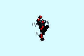 Cc1cc(-c2ccc(-c3ccccc3-c3cc(BOC(C)(C)C(C)(C)O)cc(-c4ccccc4-c4ccc(-c5cc(C)c(-c6cccc(-c7ccccc7)c6)cn5)cc4)c3)cc2)ncc1-c1cccc(-c2ccccc2)c1